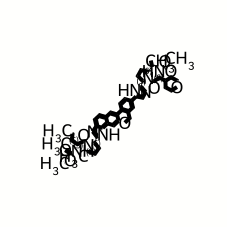 CC[C@H]1CC[C@@H](c2ncc(-c3ccc4c(c3)COc3cc5c(ccc6nc([C@@H]7CC[C@H](C)N7C(=O)[C@@H](NC(=O)OC)[C@@H](C)CC)[nH]c65)cc3-4)[nH]2)N1C(=O)[C@@H](NC(=O)OC)C1CCOCC1